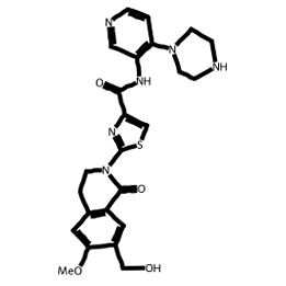 COc1cc2c(cc1CO)C(=O)N(c1nc(C(=O)Nc3cnccc3N3CCNCC3)cs1)CC2